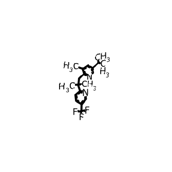 Cc1cc(C(C)C)cnc1CC(C)(C)c1ccc(C(F)(F)F)cn1